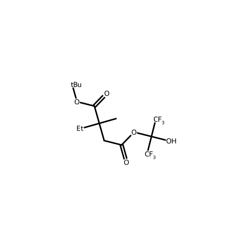 CCC(C)(CC(=O)OC(O)(C(F)(F)F)C(F)(F)F)C(=O)OC(C)(C)C